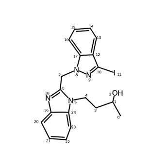 CC(O)CCn1c(Cn2nc(I)c3ccccc32)nc2ccccc21